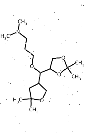 CN(C)CCCOC(C1COC(C)(C)C1)C1COC(C)(C)O1